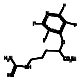 CCOC(=O)C(CCCNC(=N)N)Oc1c(F)c(F)nc(F)c1F